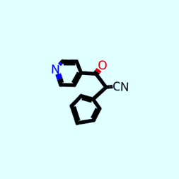 N#CC(C(=O)c1ccncc1)c1ccccc1